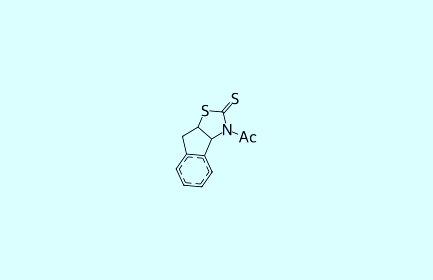 CC(=O)N1C(=S)SC2Cc3ccccc3C21